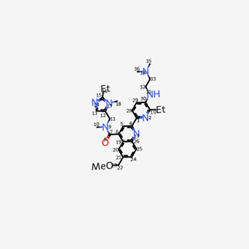 CCc1nc(-c2cc(C(=O)N(C)Cc3cnc(CC)n3C)c3cc(COC)ccc3n2)ccc1NCCN(C)C